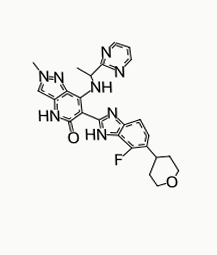 CC(Nc1c(-c2nc3ccc(C4CCOCC4)c(F)c3[nH]2)c(=O)[nH]c2cn(C)nc12)c1ncccn1